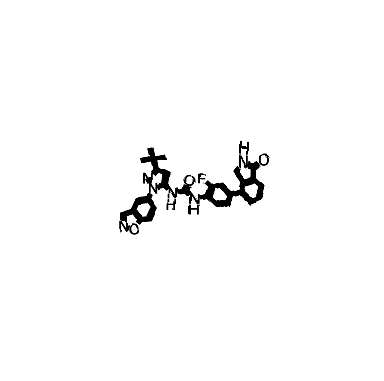 CC(C)(C)c1cc(NC(=O)Nc2ccc(-c3cccc4c3CNC4=O)cc2F)n(-c2ccc3oncc3c2)n1